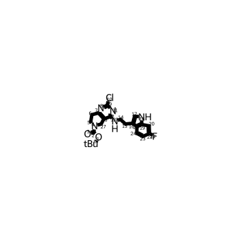 CC(C)(C)OC(=O)N1CCc2nc(Cl)nc(NCCc3c[nH]c4cc(F)ccc34)c2C1